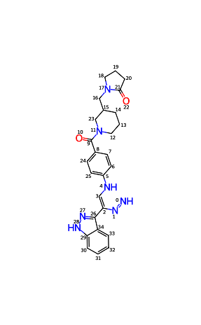 N=N/C(=C\Nc1ccc(C(=O)N2CCCC(CN3CCCC3=O)C2)cc1)c1n[nH]c2ccccc12